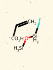 C=CC(=O)O.F[SiH2]O[SiH3]